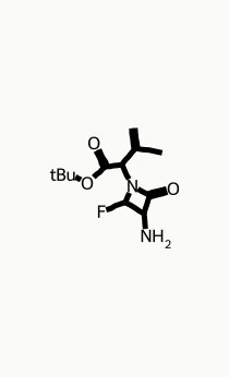 C=C(C)C(C(=O)OC(C)(C)C)N1C(=O)C(N)C1F